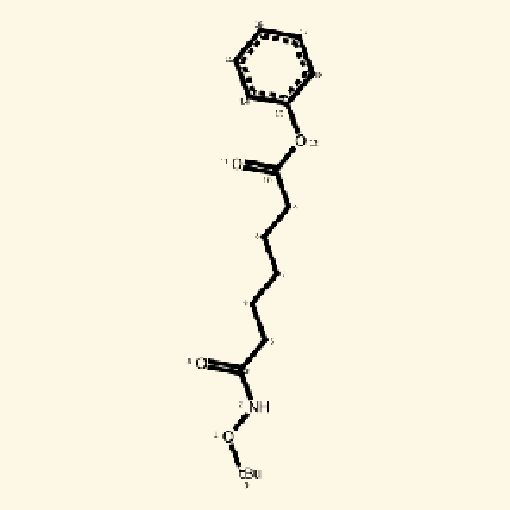 CC(C)(C)ONC(=O)CCCCCC(=O)Oc1ccccc1